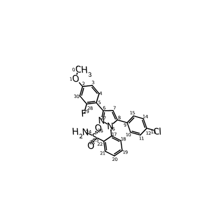 COc1ccc(-c2cc(-c3ccc(Cl)cc3)n(-c3ccccc3S(N)(=O)=O)n2)c(F)c1